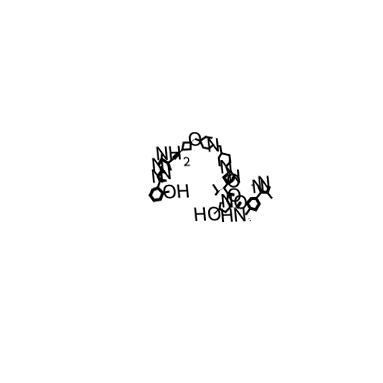 Cc1cnn(C)c1-c1ccc([C@H](C)NC(=O)[C@@H]2C[C@@H](O)CN2C(=O)[C@@H](c2cc(N3CCC(CN4CCC(O[C@H]5C[C@H](C#Cc6cn7cc(-c8ccccc8O)nc7nc6N)C5)CC4)CC3)no2)C(C)C)cc1